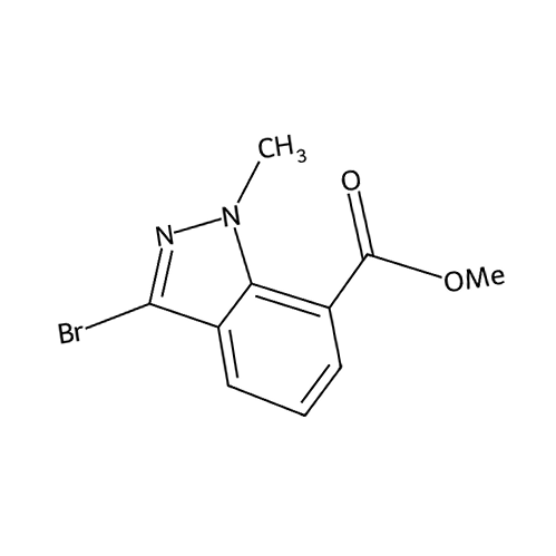 COC(=O)c1cccc2c(Br)nn(C)c12